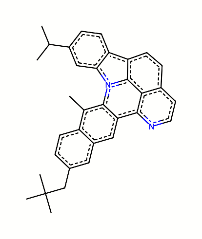 Cc1c2ccc(CC(C)(C)C)cc2cc2c3nccc4ccc5c6ccc(C(C)C)cc6n(c12)c5c43